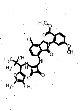 COC(=O)c1ccc(OC)cc1N1Cc2c(Cl)ccc(Nc3c(NC(c4cc(C)c(C)o4)C(C)(C)C)c(=O)c3=O)c2C1=O